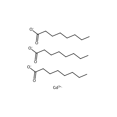 CCCCCCCC(=O)[O-].CCCCCCCC(=O)[O-].CCCCCCCC(=O)[O-].[Gd+3]